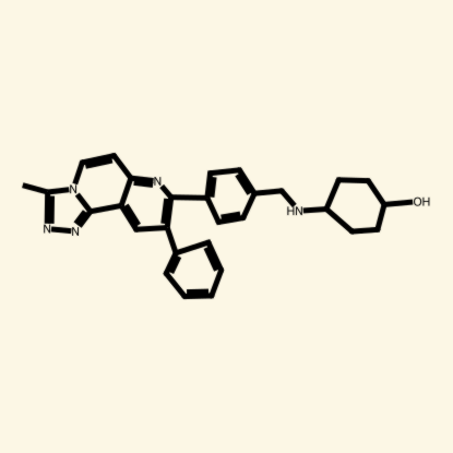 Cc1nnc2c3cc(-c4ccccc4)c(-c4ccc(CNC5CCC(O)CC5)cc4)nc3ccn12